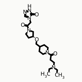 CCN(CC)CCC(=O)N1CCC(CO[C@@H]2CCN(C(=O)Cn3cn[nH]c3=O)C2)CC1